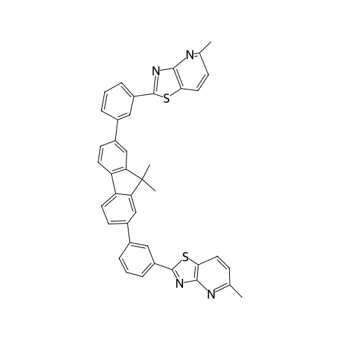 Cc1ccc2sc(-c3cccc(-c4ccc5c(c4)C(C)(C)c4cc(-c6cccc(-c7nc8nc(C)ccc8s7)c6)ccc4-5)c3)nc2n1